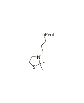 CCCCCCCCN1CCSC1(C)C